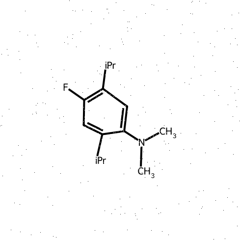 CC(C)c1cc(N(C)C)c(C(C)C)cc1F